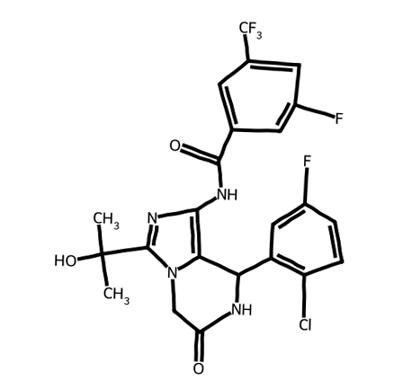 CC(C)(O)c1nc(NC(=O)c2cc(F)cc(C(F)(F)F)c2)c2n1CC(=O)NC2c1cc(F)ccc1Cl